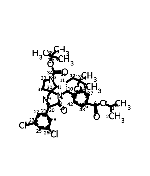 CC(C)OC(=O)c1ccc([C@@H](CCC(C)(C)C)N2C(=O)C(c3cc(Cl)cc(Cl)c3)=NC23CCN(C(=O)OC(C)(C)C)C3)cc1